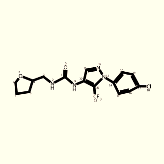 O=C(NCC1CCCO1)Nc1cnn(-c2ccc(Cl)cc2)c1C(F)(F)F